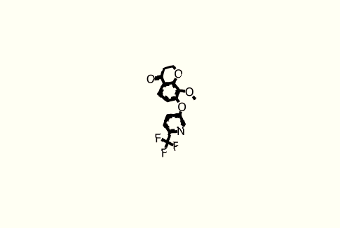 COc1c(Oc2ccc(C(F)(F)F)nc2)ccc2c1OCCC2=O